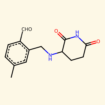 Cc1ccc(C=O)c(CNC2CCC(=O)NC2=O)c1